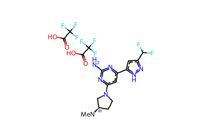 CN[C@@H]1CCN(c2cc(-c3cc(C(F)F)n[nH]3)nc(N)n2)C1.O=C(O)C(F)(F)F.O=C(O)C(F)(F)F